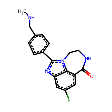 CNCc1ccc(-c2nc3cc(F)cc4c3n2CCNC4=O)cc1